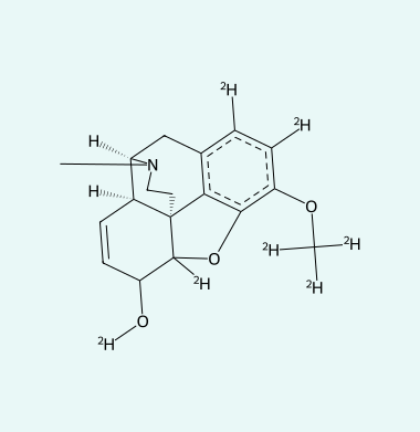 [2H]OC1C=C[C@H]2[C@H]3Cc4c([2H])c([2H])c(OC([2H])([2H])[2H])c5c4[C@@]2(CCN3C)C1([2H])O5